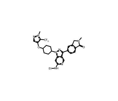 CCNc1cc2c(cn1)c(-c1ccc3c(c1)CN(C)C3=O)nn2C1CCC(Oc2cnn(C)c2C(F)(F)F)CC1